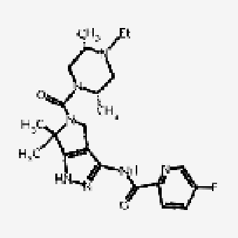 CCN1C[C@H](C)N(C(=O)N2Cc3c(NC(=O)c4ccc(F)cn4)n[nH]c3C2(C)C)C[C@@H]1C